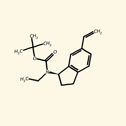 C=Cc1ccc2c(c1)[C@H](N(CC)C(=O)OC(C)(C)C)CC2